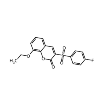 CCOc1cccc2cc(S(=O)(=O)c3ccc(F)cc3)c(=O)oc12